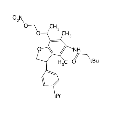 Cc1c(NC(=O)CC(C)(C)C)c(C)c([C@@H](C)OCO[N+](=O)[O-])c2c1[C@@H](c1ccc(C(C)C)cc1)CO2